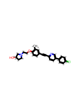 Cc1cc(C#Cc2ccc(-c3ccc(Cl)cc3)cn2)ccc1OCCN1CC[C@@H](O)C1